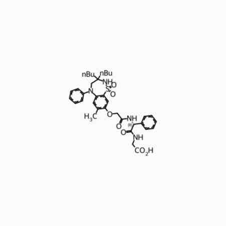 CCCCC1(CCCC)CN(c2ccccc2)c2cc(C)c(OCC(=O)N[C@@H](C(=O)NCC(=O)O)c3ccccc3)cc2S(=O)(=O)N1